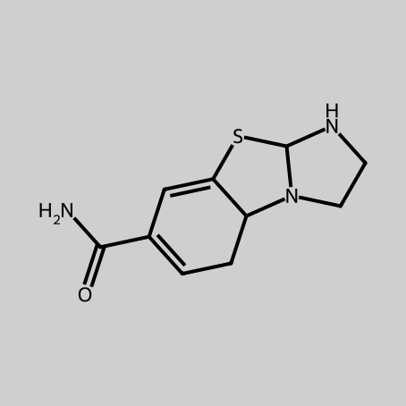 NC(=O)C1=CCC2C(=C1)SC1NCCN12